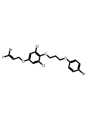 FC(Br)=CCOc1cc(Cl)c(OCCCOc2ccc(Br)cc2)c(Cl)c1